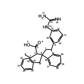 CCC(C(=O)O)C(CCc1cccc(NC(=N)N)c1)(Cc1ccccc1)c1ccccc1